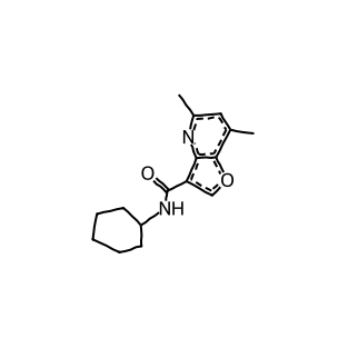 Cc1cc(C)c2occ(C(=O)NC3CCCCC3)c2n1